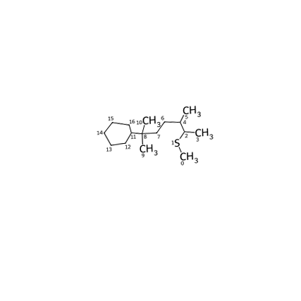 CSC(C)C(C)CCC(C)(C)C1CCCCC1